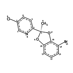 C[C@@]1(c2ccc(Cl)cn2)Oc2cccc(Br)c2O1